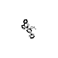 C[C@H]1CN(c2ncccn2)CCN1C(=O)N1N=CCC1c1ccccc1